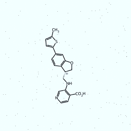 Cc1ccc(-c2ccc3c(c2)OC[C@@H]3CNc2cnccc2C(=O)O)s1